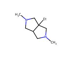 CCC12CN(C)CC1CN(C)C2